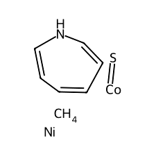 C.C1=CC=CNC=C1.[Ni].[S]=[Co]